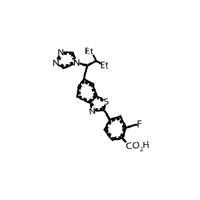 CCC(CC)C(c1ccc2nc(-c3ccc(C(=O)O)c(F)c3)sc2c1)n1cnnc1